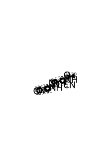 N#Cc1cc(-c2ccnc(Nc3ccc(N4CCOCC4)cc3)n2)ccc1NC(=O)C1CC1